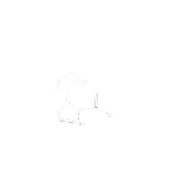 NC(=O)c1ncc[nH]1.O=C(O)/C=C\C(=O)O